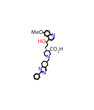 COc1ccc2nccc(C(O)CC[C@@H]3CCN(CC4CCc5nc(-c6ccccc6)ncc5C4)C[C@@H]3C(=O)O)c2c1